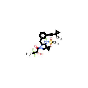 CC1(C#Cc2cccc(CC3C(NS(C)(=O)=O)C4(CC4)CN3C(=O)[C@H](O)C(C)(F)F)c2F)CC1